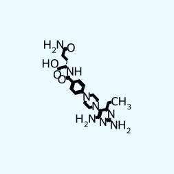 CCc1nc(N)nc(N)c1N1CCN(c2ccc(C(=O)N[C@@H](CCC(N)=O)C(=O)O)cc2)CC1